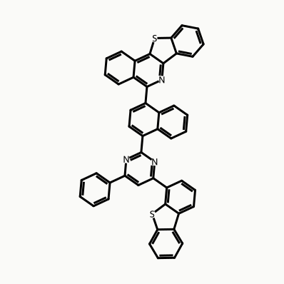 c1ccc(-c2cc(-c3cccc4c3sc3ccccc34)nc(-c3ccc(-c4nc5c6ccccc6sc5c5ccccc45)c4ccccc34)n2)cc1